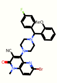 COc1ccccc1C(c1ccc(F)cc1)N1CCN(c2c(C#N)c(=O)n(C)c3ccc(Br)nc23)CC1